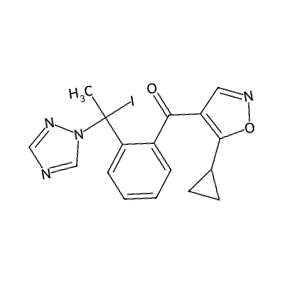 CC(I)(c1ccccc1C(=O)c1cnoc1C1CC1)n1cncn1